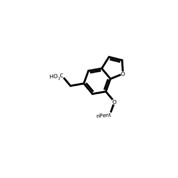 CCCCCOc1cc(CC(=O)O)cc2ccoc12